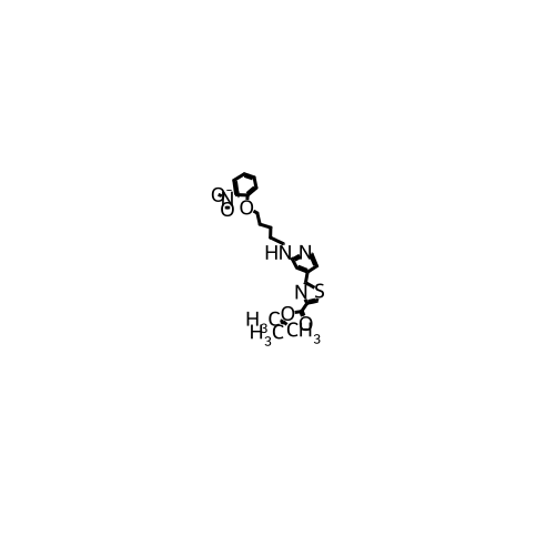 CC(C)(C)OC(=O)c1csc(-c2ccnc(NCCCCCOc3ccccc3[N+](=O)[O-])c2)n1